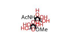 CO[C@H]1O[C@H](CO)[C@@H](O)[C@H](O[C@@H]2O[C@H](CO)[C@@H](O)[C@H](O)[C@@H]2NC(C)=O)[C@H]1O